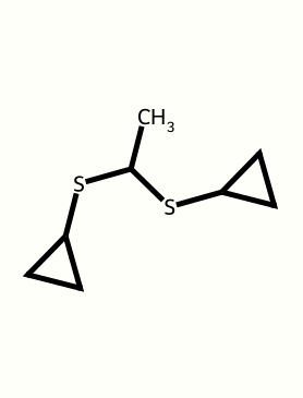 CC(SC1CC1)SC1CC1